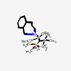 CO[Si](OC)(C([Si](C)(C)C)S(C)(C)C)N1CCC2CCCCC2C1